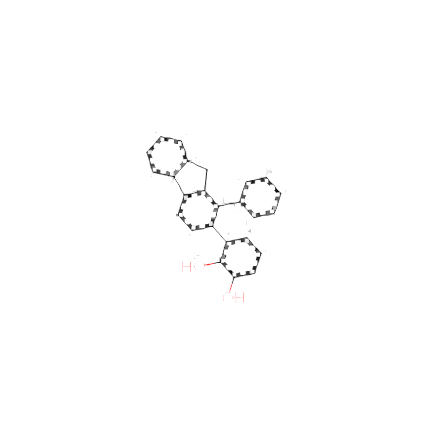 Oc1cccc(-c2ccc3c(c2-c2ccccc2)Cc2ccccc2-3)c1O